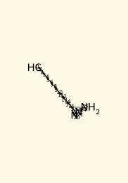 C#CC#CC#CC#CC#CC#CC#CC#CC#CC1=NCCN1CCN